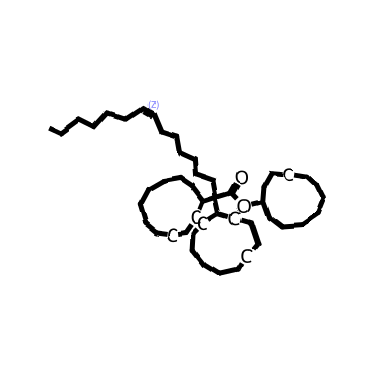 CCCCCC/C=C\CCCCCCC(C(=O)OC1CCCCCCCCCC1)(C1CCCCCCCCCC1)C1CCCCCCCCCC1